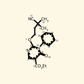 CCOC(=O)c1cnc(OCCC(C)(C)C#N)n(-c2ccccc2)c1=O